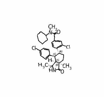 C[C@H]1NC(=O)[C@]2(C)CC[C@@H](c3ccc(C(=O)N(C)C4CCCCC4)cc3Cl)[C@H](c3ccc(Cl)cc3)[C@H]12